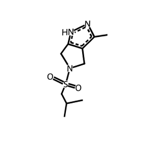 Cc1n[nH]c2c1CN(S(=O)(=O)CC(C)C)C2